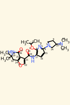 CC(C)Oc1nc(N2CCC(N(C)C)C2)ccc1NC(=O)c1coc2c1C(=O)NC(C)(C)C2